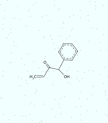 C=CC(=O)C(O)c1ccccc1